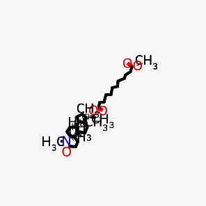 COC(=O)CCCCCCCCCCC(=O)OC(C)[C@H]1C(C)C[C@H]2[C@@H]3CCC4N(C)C(=O)CC[C@]4(C)[C@H]3CC[C@]12C